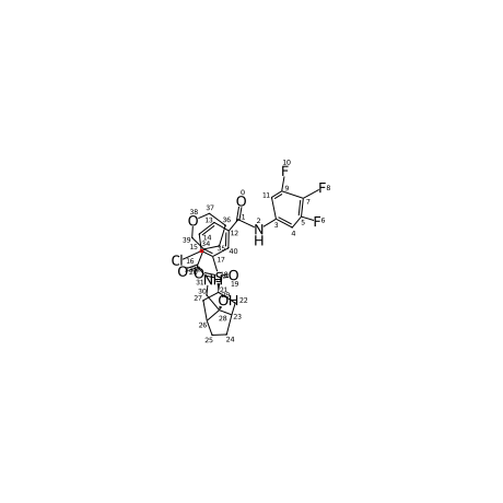 O=C(Nc1cc(F)c(F)c(F)c1)c1ccc(Cl)c(S(=O)(=O)[C@H]2CC3CCC(C2)[C@]3(O)CNC(=O)C2CCCOC2)c1